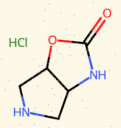 Cl.O=C1NC2CNCC2O1